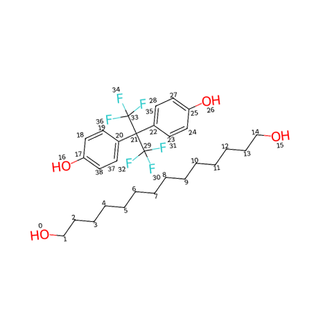 OCCCCCCCCCCCCCCO.Oc1ccc(C(c2ccc(O)cc2)(C(F)(F)F)C(F)(F)F)cc1